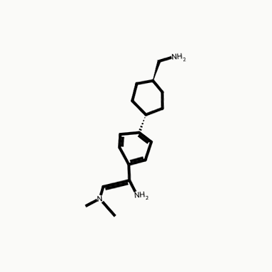 CN(C)/C=C(\N)c1ccc([C@H]2CC[C@H](CN)CC2)cc1